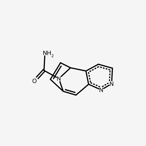 NC(=O)N1C2=Cc3nnccc3C1C=C2